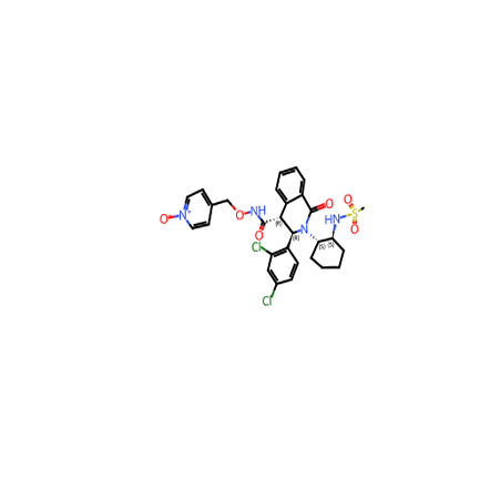 CS(=O)(=O)N[C@H]1CCCC[C@@H]1N1C(=O)c2ccccc2[C@@H](C(=O)NOCc2cc[n+]([O-])cc2)[C@@H]1c1ccc(Cl)cc1Cl